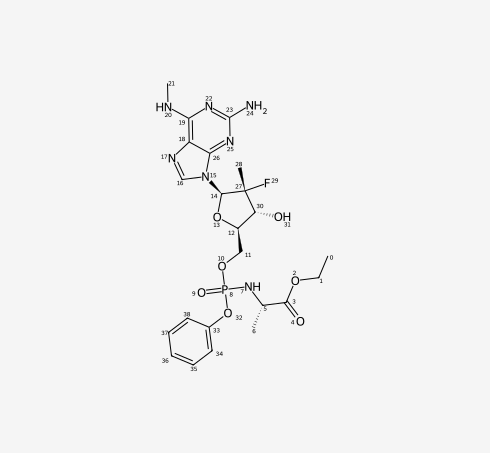 CCOC(=O)[C@H](C)NP(=O)(OC[C@H]1O[C@@H](n2cnc3c(NC)nc(N)nc32)[C@](C)(F)[C@@H]1O)Oc1ccccc1